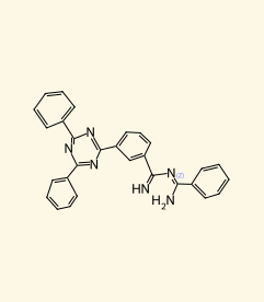 N=C(/N=C(\N)c1ccccc1)c1cccc(-c2nc(-c3ccccc3)nc(-c3ccccc3)n2)c1